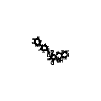 CC(OCc1ccc(-c2ccccc2)cc1)(C(=O)NO)C(=O)NCc1ccncn1